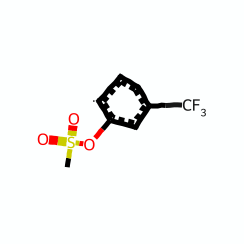 CS(=O)(=O)Oc1[c]ccc(C(F)(F)F)c1